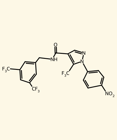 O=C(NCc1cc(C(F)(F)F)cc(C(F)(F)F)c1)c1cnn(-c2ccc([N+](=O)[O-])cc2)c1C(F)(F)F